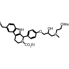 CCOC(=O)N1CCc2c([nH]c3ccc(CI)cc23)C1c1ccc(OCC(O)CN(C)CCOC)cc1